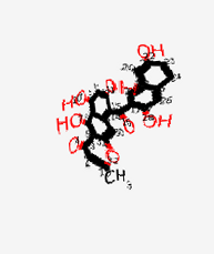 Cc1cc(=O)c2c(O)c3c(O)cc(O)c(C(=O)c4cc5cc(O)ccc5cc4O)c3cc2o1